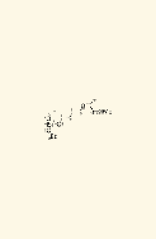 CCO[SiH](OCC)OCCCCOC(C)CNC